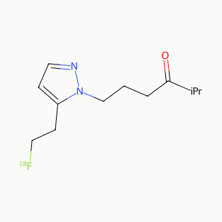 CC(C)C(=O)CCCn1nccc1CC[18F]